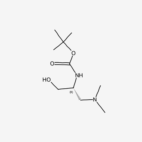 CN(C)C[C@H](CO)NC(=O)OC(C)(C)C